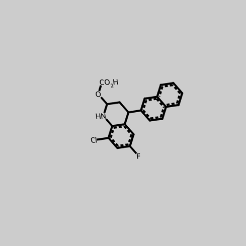 O=C(O)OC1CC(c2ccc3ccccc3c2)c2cc(F)cc(Cl)c2N1